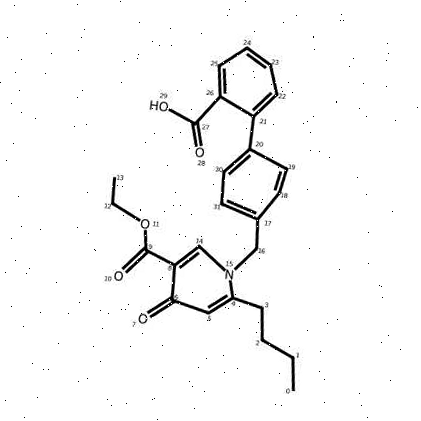 CCCCc1cc(=O)c(C(=O)OCC)cn1Cc1ccc(-c2ccccc2C(=O)O)cc1